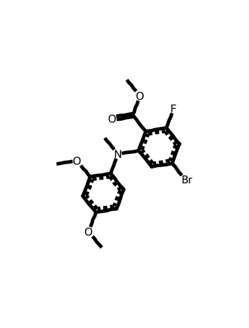 COC(=O)c1c(F)cc(Br)cc1N(C)c1ccc(OC)cc1OC